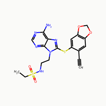 C#Cc1cc2c(cc1Sc1nc3c(N)ncnc3n1CCNS(=O)(=O)CC)OCO2